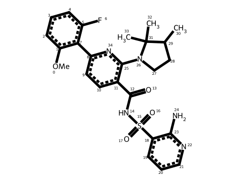 COc1cccc(F)c1-c1ccc(C(=O)NS(=O)(=O)c2cccnc2N)c(N2CCC(C)C2(C)C)n1